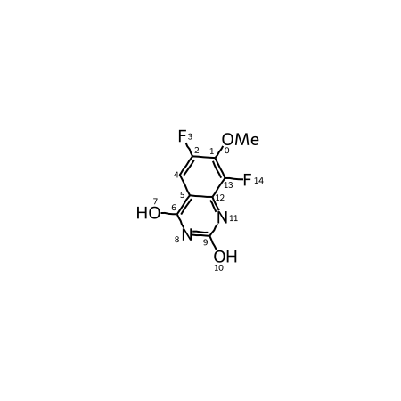 COc1c(F)cc2c(O)nc(O)nc2c1F